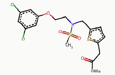 COC(=O)Cc1ccc(CN(CCOc2cc(Cl)cc(Cl)c2)S(C)(=O)=O)s1